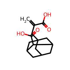 C=C(CC12CC3CC(C1)C(C(=O)O)C(C3)C2)C(=O)O